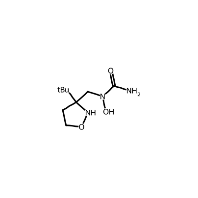 CC(C)(C)C1(CN(O)C(N)=O)CCON1